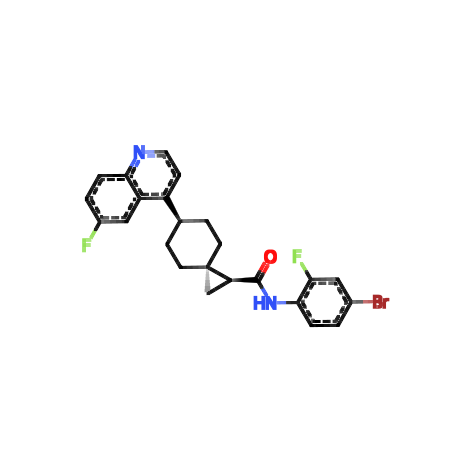 O=C(Nc1ccc(Br)cc1F)[C@H]1C[C@]12CC[C@H](c1ccnc3ccc(F)cc31)CC2